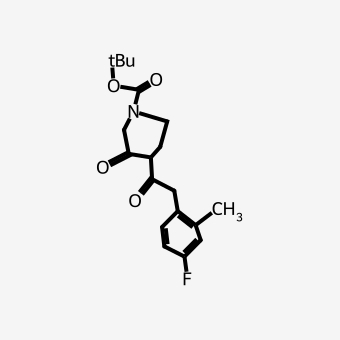 Cc1cc(F)ccc1CC(=O)C1CCN(C(=O)OC(C)(C)C)CC1=O